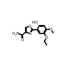 CCOc1cc(-c2nc(C(N)=O)co2)ccc1OC.Cl